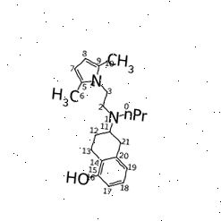 CCCN(CCn1c(C)ccc1C)C1CCc2c(O)cccc2C1